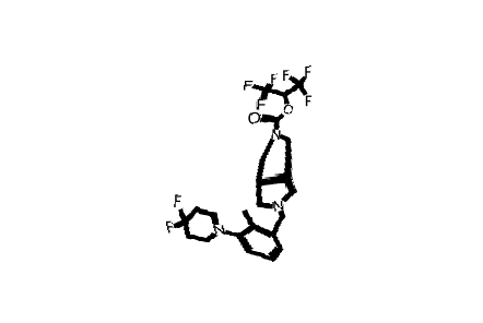 Cc1c(CN2CC3CN(C(=O)OC(C(F)(F)F)C(F)(F)F)CC3C2)cccc1N1CCC(F)(F)CC1